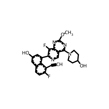 C#Cc1c(F)ccc2cc(O)cc(-c3ncc4c(N5CCC(O)CC5)nc(OC)nc4c3F)c12